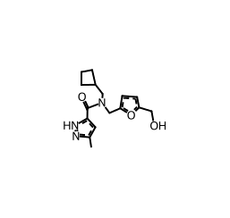 Cc1cc(C(=O)N(Cc2ccc(CO)o2)CC2CCC2)[nH]n1